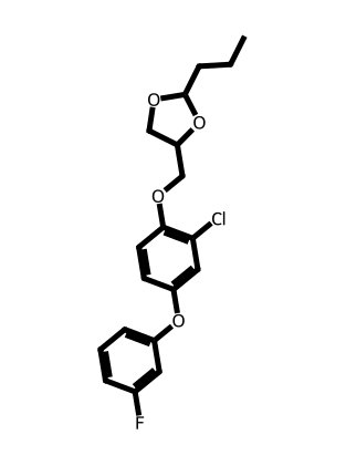 CCCC1OCC(COc2ccc(Oc3cccc(F)c3)cc2Cl)O1